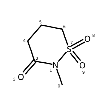 CN1C(=O)CCCS1(=O)=O